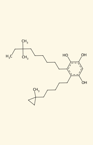 CCC(C)(C)CCCCCCc1c(O)c(O)cc(O)c1CCCCCC1(C)CC1